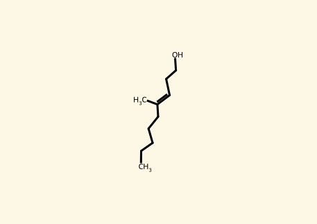 CCCCC/C(C)=C/CCO